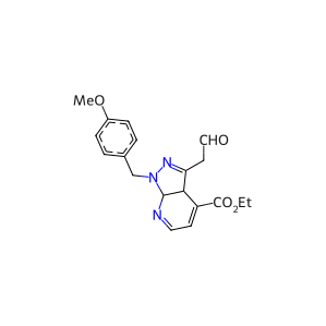 CCOC(=O)C1=CC=NC2C1C(CC=O)=NN2Cc1ccc(OC)cc1